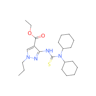 CCCn1cc(C(=O)OCC)c(NC(=S)N(C2CCCCC2)C2CCCCC2)n1